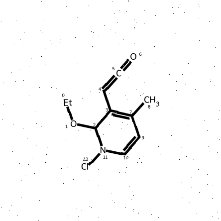 CCOC1C(C=C=O)=C(C)C=CN1Cl